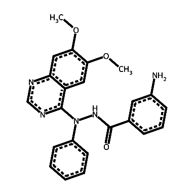 COc1cc2ncnc(N(NC(=O)c3cccc(N)c3)c3ccccc3)c2cc1OC